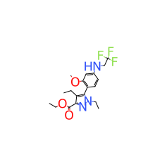 CCOC(=O)c1nn(CC)c(-c2ccc(NCC(F)(F)F)cc2OC)c1CC